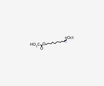 CCCCCCCC/C=C\CCCCCCCCOC(=O)C(=O)O